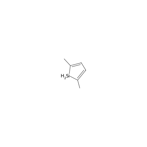 CC1=CC=C(C)[SiH2]1